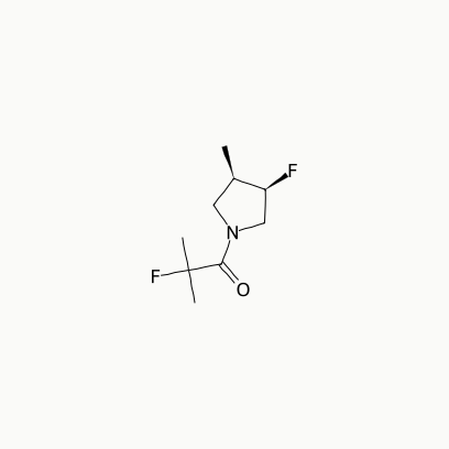 C[C@@H]1CN(C(=O)C(C)(C)F)C[C@@H]1F